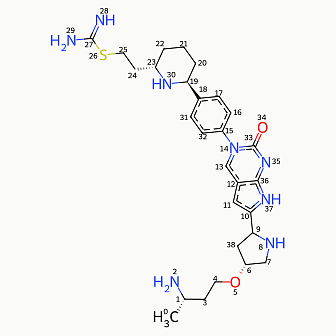 C[C@H](N)CCO[C@H]1CNC(c2cc3cn(-c4ccc([C@@H]5CCC[C@@H](CCSC(=N)N)N5)cc4)c(=O)nc3[nH]2)C1